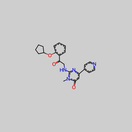 Cn1c(NCC(=O)c2ccccc2OC2CCCC2)nc(-c2ccncc2)cc1=O